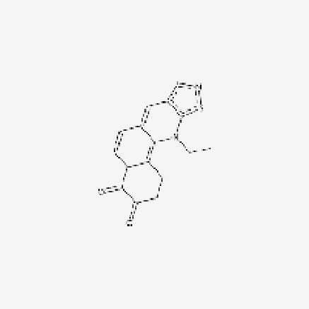 CCN1C2=C3CCC(=O)C(=O)C3C=CC2=Cc2cnsc21